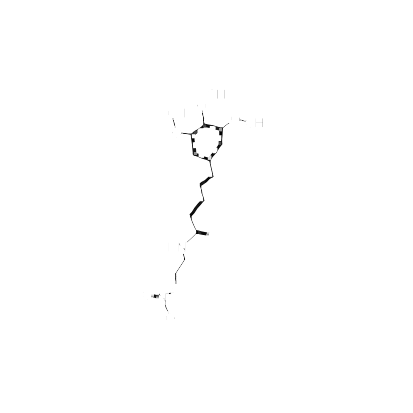 COc1cc(C=CC=CC(=O)NCCO[N+](=O)[O-])cc(OC)c1OC